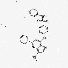 CBc1cnn2c(Nc3ccc(S(=O)(=O)Nc4ccncc4)cc3)cc(-c3ccccc3)nc12